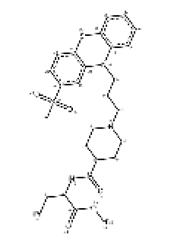 CC(C)CC(NC(=O)C1CCN(CCCN2c3ccccc3Sc3ccc(S(C)(=O)=O)cc32)CC1)C(=O)OC(C)(C)C